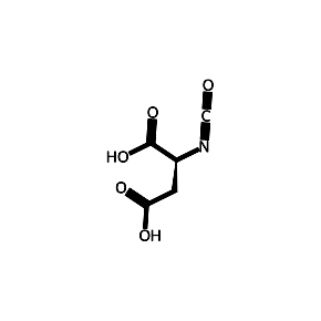 O=C=N[C@@H](CC(=O)O)C(=O)O